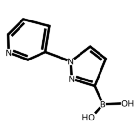 OB(O)c1ccn(-c2cccnc2)n1